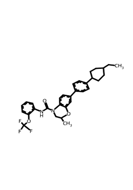 CCC1CCC(c2ccc(-c3ccc4c(c3)OC(C)CN4C(=O)Nc3ccccc3OC(F)(F)F)cc2)CC1